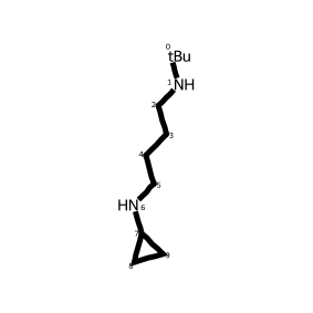 CC(C)(C)NCCCCNC1CC1